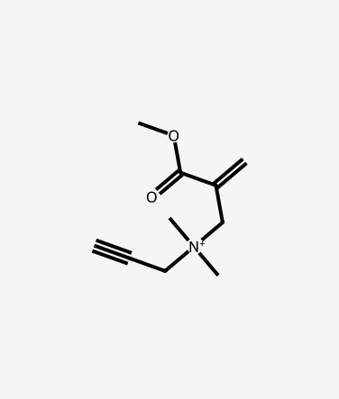 C#CC[N+](C)(C)CC(=C)C(=O)OC